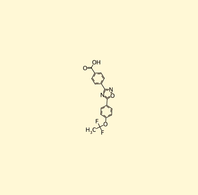 CC(F)(F)Oc1ccc(-c2nc(-c3ccc(C(=O)O)cc3)no2)cc1